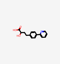 O=C(O)C(O)CCc1ccc(-c2ccccn2)cc1